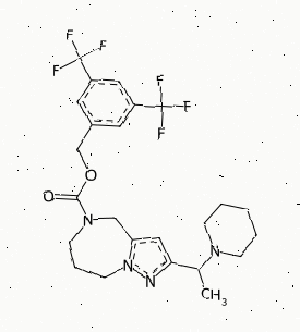 CC(c1cc2n(n1)CCCN(C(=O)OCc1cc(C(F)(F)F)cc(C(F)(F)F)c1)C2)N1CCCCC1